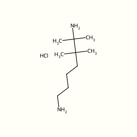 CC(C)(N)C(C)(C)CCCCN.Cl